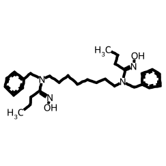 CCCC(=NO)N(CCCCCCCCN(Cc1ccccc1)C(CCC)=NO)Cc1ccccc1